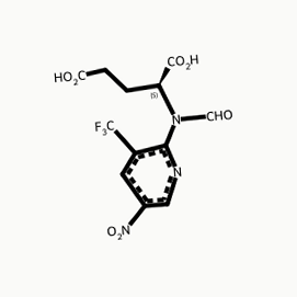 O=CN(c1ncc([N+](=O)[O-])cc1C(F)(F)F)[C@@H](CCC(=O)O)C(=O)O